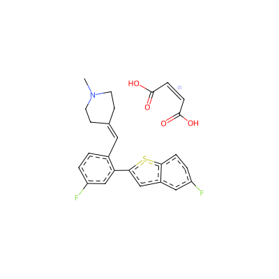 CN1CCC(=Cc2ccc(F)cc2-c2cc3cc(F)ccc3s2)CC1.O=C(O)/C=C\C(=O)O